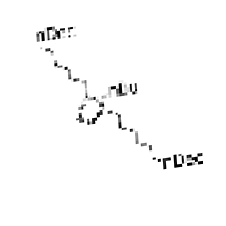 [CH2]CCCc1c(CCCCCCCCCCCCCCCC)cccc1CCCCCCCCCCCCCCCC